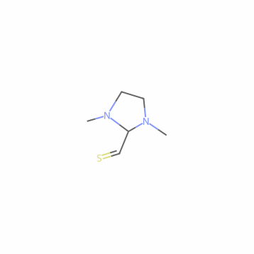 CN1CCN(C)C1C=S